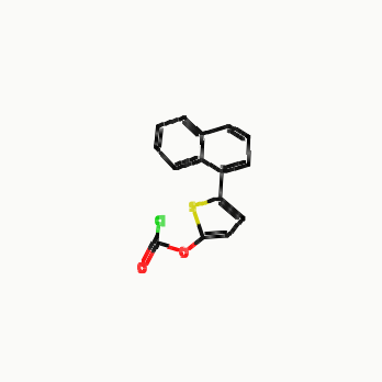 O=C(Cl)Oc1ccc(-c2cccc3ccccc23)s1